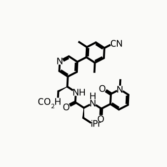 Cc1cc(C#N)cc(C)c1-c1cncc([C@H](CC(=O)O)NC(=O)[C@H](CC(C)C)NC(=O)c2cccn(C)c2=O)c1